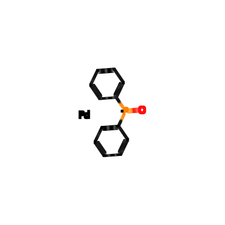 O=[P](c1ccccc1)c1ccccc1.[Pd]